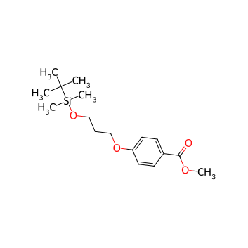 COC(=O)c1ccc(OCCCO[Si](C)(C)C(C)(C)C)cc1